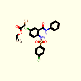 CCOC(=O)CS.O=C(Nc1ccccc1)c1cc(Cl)ccc1NS(=O)(=O)c1ccc(Cl)cc1